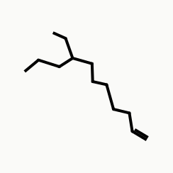 C=CCCCCCC(CC)CCC